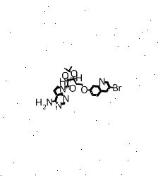 CC1(C)O[C@@H]2[C@H](O1)C(COc1ccc3cc(Br)cnc3c1)O[C@H]2n1ccc2c(N)ncnc21